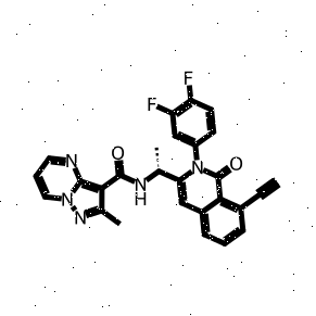 C#Cc1cccc2cc([C@@H](C)NC(=O)c3c(C)nn4cccnc34)n(-c3ccc(F)c(F)c3)c(=O)c12